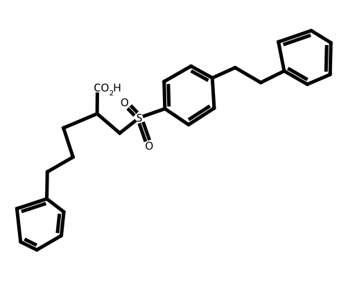 O=C(O)C(CCCc1ccccc1)CS(=O)(=O)c1ccc(CCc2ccccc2)cc1